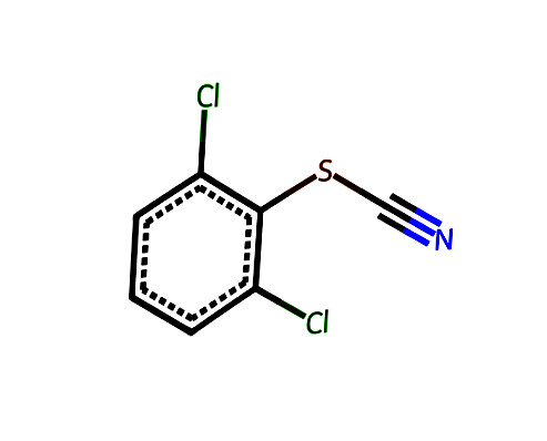 N#CSc1c(Cl)cccc1Cl